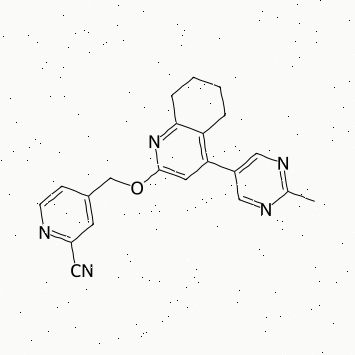 Cc1ncc(-c2cc(OCc3ccnc(C#N)c3)nc3c2CCCC3)cn1